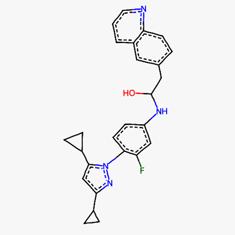 OC(Cc1ccc2ncccc2c1)Nc1ccc(-n2nc(C3CC3)cc2C2CC2)c(F)c1